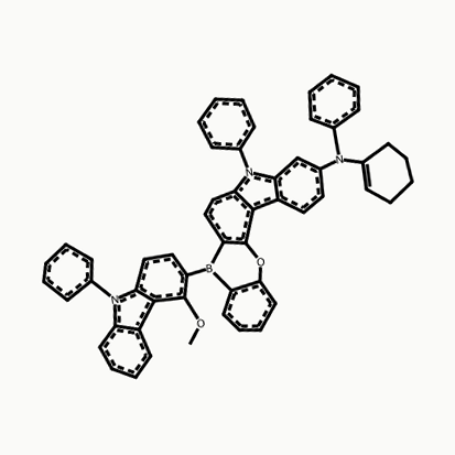 COc1c(B2c3ccccc3Oc3c2ccc2c3c3ccc(N(C4=CCCCC4)c4ccccc4)cc3n2-c2ccccc2)ccc2c1c1ccccc1n2-c1ccccc1